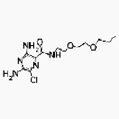 CCCOCCOCCNC(=O)c1nc(Cl)c(N)nc1N